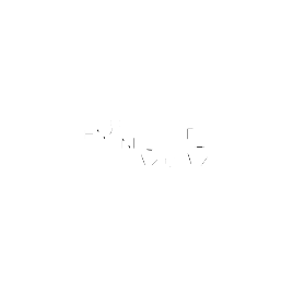 Cc1cc(CNC2CCNC2=O)ccc1OCc1ccccc1F